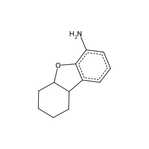 Nc1cccc2c1OC1CCCCC21